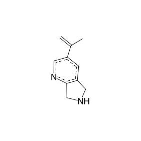 C=C(C)c1cnc2c(c1)CNC2